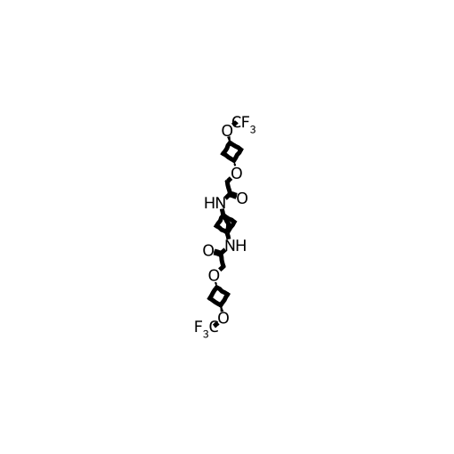 O=C(CO[C@H]1C[C@H](OC(F)(F)F)C1)NC12CC(NC(=O)CO[C@H]3C[C@H](OC(F)(F)F)C3)(C1)C2